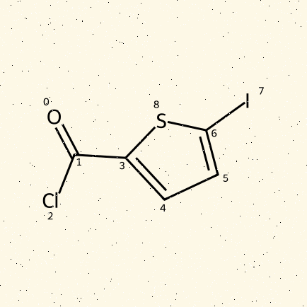 O=C(Cl)c1ccc(I)s1